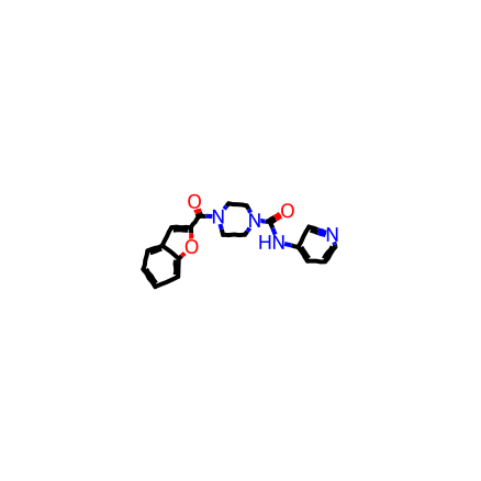 O=C(Nc1cccnc1)N1CCN(C(=O)c2cc3ccccc3o2)CC1